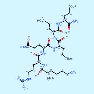 CSCC[C@@H](NC(=O)[C@H](CCC(N)=O)NC(=O)[C@H](CCCNC(=N)N)NC(=O)[C@H](CCCCN)NC(C)=O)C(=O)N[C@@H](CCC(=O)O)C(=O)N[C@@H](CCC(=O)O)C(N)=O